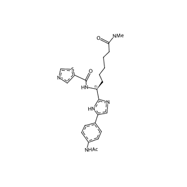 CNC(=O)CCCCC[C@H](NC(=O)c1cncs1)c1ncc(-c2ccc(NC(C)=O)cc2)[nH]1